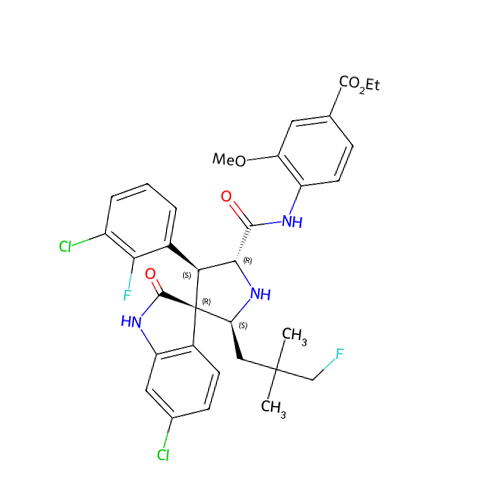 CCOC(=O)c1ccc(NC(=O)[C@@H]2N[C@@H](CC(C)(C)CF)[C@@]3(C(=O)Nc4cc(Cl)ccc43)[C@H]2c2cccc(Cl)c2F)c(OC)c1